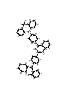 CC1(C)c2ccccc2N(c2ccc(-c3nc(-c4ccc(N5c6ccccc6Oc6ccccc65)cc4)nc4ccccc34)cc2)c2ccccc21